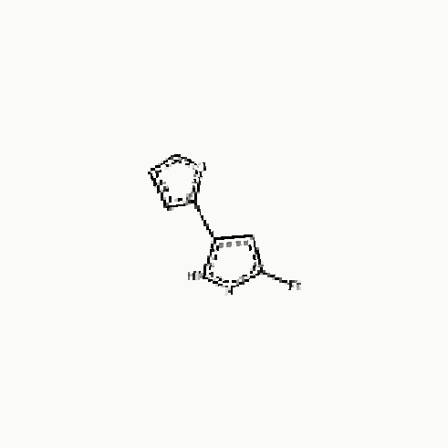 CCc1cc(-c2ccco2)[nH]n1